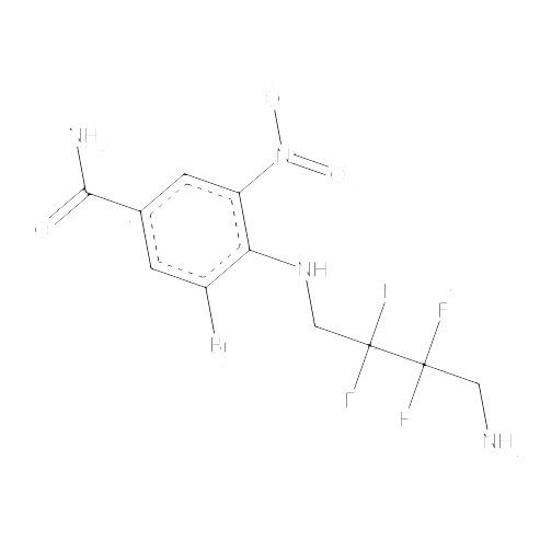 NCC(F)(F)C(F)(F)CNc1c(Br)cc(C(N)=O)cc1[N+](=O)[O-]